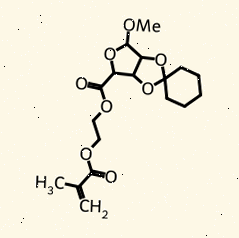 C=C(C)C(=O)OCCOC(=O)C1OC(OC)C2OC3(CCCCC3)OC12